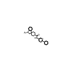 CC(=O)N1CC2(CCN(C(=O)Nc3cnc(-c4ccccc4)nc3)CC2)c2ccccc21